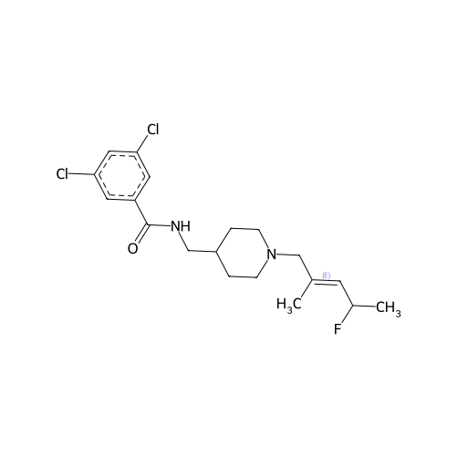 C/C(=C\C(C)F)CN1CCC(CNC(=O)c2cc(Cl)cc(Cl)c2)CC1